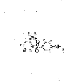 Nc1ccc(S(=O)(=O)c2ccccc2C(F)(F)F)cc1